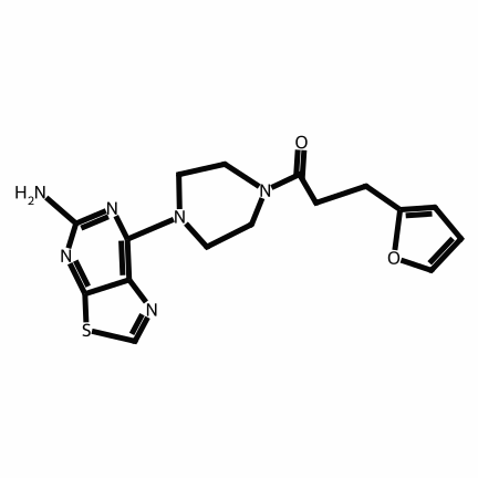 Nc1nc(N2CCN(C(=O)CCc3ccco3)CC2)c2ncsc2n1